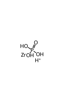 O=P(O)(O)O.[H+].[Zr]